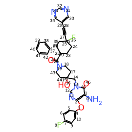 Nc1c(Oc2ccc(F)cc2)ncn(CC2(O)CCN(C(=O)[C@@H]3CC[C@@](F)(C#Cc4cncnc4)C[C@H]3c3ccccc3)CC2)c1=O